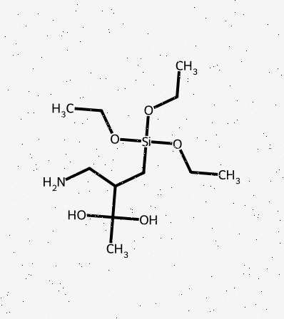 CCO[Si](CC(CN)C(C)(O)O)(OCC)OCC